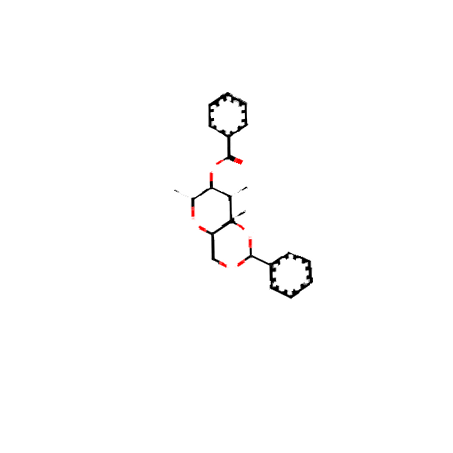 C[C@@H]1OC2COC(c3ccccc3)O[C@H]2[C@H](C)C1OC(=O)c1ccccc1